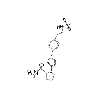 CS(=O)(=O)NCCc1ccc(-c2ccc(C3CCCC3C(N)=O)cc2)cc1